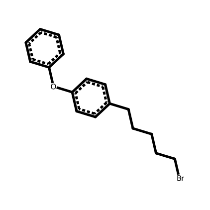 BrCCCCCc1ccc(Oc2ccccc2)cc1